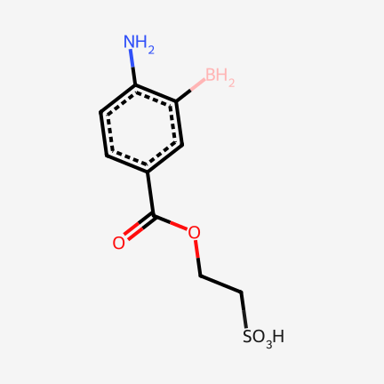 Bc1cc(C(=O)OCCS(=O)(=O)O)ccc1N